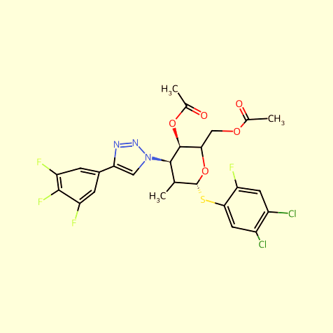 CC(=O)OCC1O[C@H](Sc2cc(Cl)c(Cl)cc2F)C(C)[C@@H](n2cc(-c3cc(F)c(F)c(F)c3)nn2)[C@H]1OC(C)=O